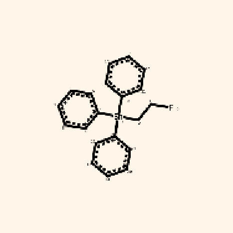 FC[CH2][Sn]([c]1ccccc1)([c]1ccccc1)[c]1ccccc1